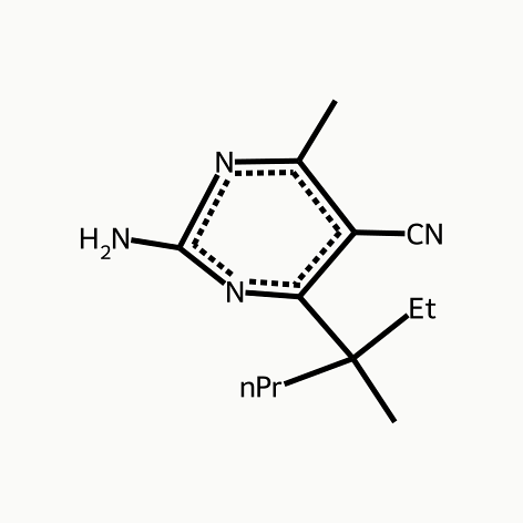 CCCC(C)(CC)c1nc(N)nc(C)c1C#N